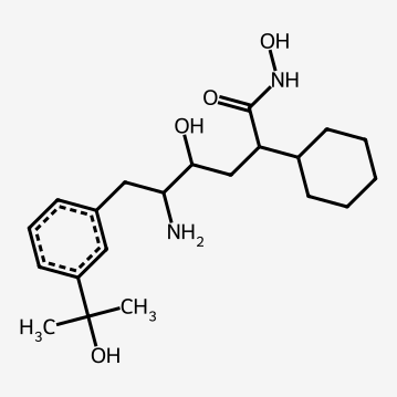 CC(C)(O)c1cccc(CC(N)C(O)CC(C(=O)NO)C2CCCCC2)c1